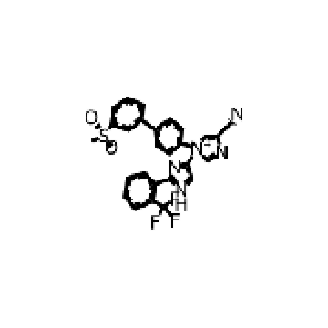 CS(=O)(=O)c1cccc(-c2ccc([N+]3(c4c[nH]c(-c5ccccc5C(F)(F)F)n4)C=NC(C#N)=C3)cc2)c1